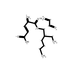 C=C(C=CC(=O)O)C(=O)OCC(CC)CCCC.C=CC=O